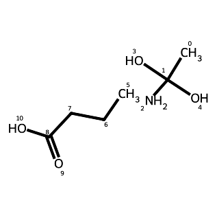 CC(N)(O)O.CCCC(=O)O